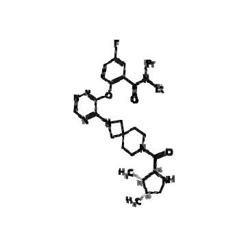 CCN(C(=O)c1cc(F)ccc1Oc1nncnc1N1CC2(CCN(C(=O)[C@H]3NC[C@H](C)[C@@H]3C)CC2)C1)C(C)C